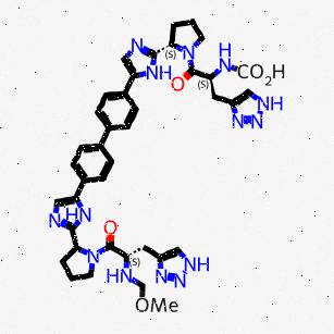 COCN[C@@H](Cc1c[nH]nn1)C(=O)N1CCCC1c1ncc(-c2ccc(-c3ccc(-c4cnc([C@@H]5CCCN5C(=O)[C@H](Cc5c[nH]nn5)NC(=O)O)[nH]4)cc3)cc2)[nH]1